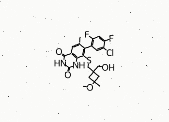 COC1(C)CC(CO)(CSc2c(-c3cc(Cl)c(F)cc3F)c(C)cc3c(=O)[nH]c(=O)[nH]c23)C1